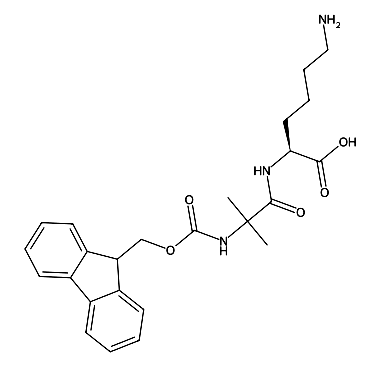 CC(C)(NC(=O)OCC1c2ccccc2-c2ccccc21)C(=O)N[C@@H](CCCCN)C(=O)O